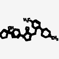 Cc1ccc(N2CCN(C)CC2)c(CC2CCN(c3ccc(C4(O)CCCC4)cc3)C2=O)c1